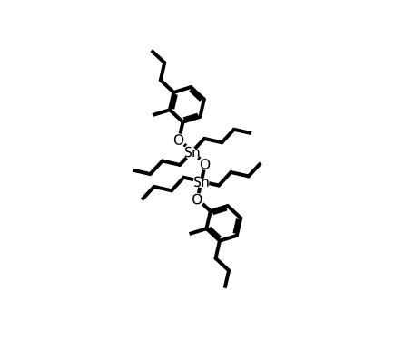 CCC[CH2][Sn]([CH2]CCC)([O]c1cccc(CCC)c1C)[O][Sn]([CH2]CCC)([CH2]CCC)[O]c1cccc(CCC)c1C